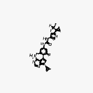 Nc1ncnc2c1c(-c1c(F)cc(NC(=O)Nc3cc(C4(C(F)(F)F)CC4)no3)cc1F)cn2C1CC1